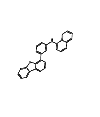 c1cc(Nc2cccc3ccccc23)cc(-c2cccc3c2sc2ccccc23)c1